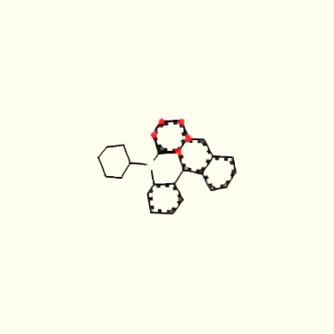 c1ccc(P(C2CCCCC2)C2CCCCC2)c(-c2c3ccccc3cc3ccccc23)c1